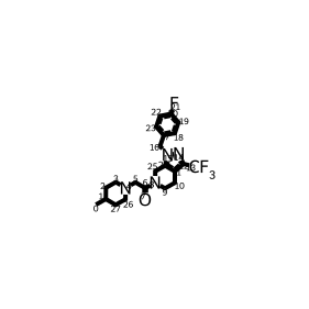 CC1CCN(CC(=O)N2CCc3c(C(F)(F)F)nn(Cc4ccc(F)cc4)c3C2)CC1